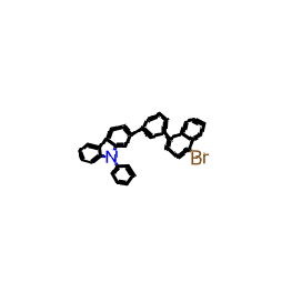 Brc1ccc(-c2cccc(-c3ccc4c5ccccc5n(-c5ccccc5)c4c3)c2)c2ccccc12